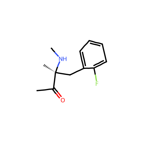 CN[C@@](C)(Cc1ccccc1F)C(C)=O